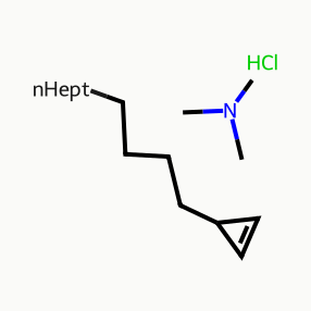 CCCCCCCCCCCC1C=C1.CN(C)C.Cl